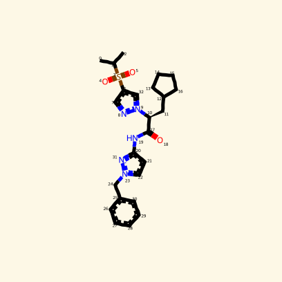 CC(C)S(=O)(=O)c1cnn([C@@H](CC2CCCC2)C(=O)Nc2ccn(Cc3ccccc3)n2)c1